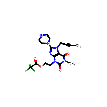 CC#CCn1c(N2CCNCC2)nc2c1c(=O)n(C)c(=O)n2CCOC(=O)C(F)(F)F